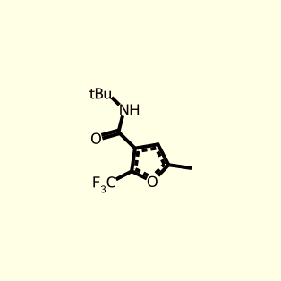 Cc1cc(C(=O)NC(C)(C)C)c(C(F)(F)F)o1